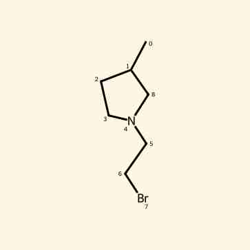 CC1CCN(CCBr)C1